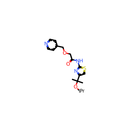 CC(C)OC(C)(C)c1csc(NC(=O)COCc2ccncc2)n1